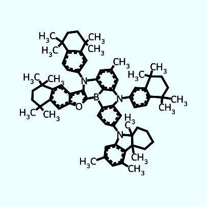 Cc1cc2c3c(c1)N(c1ccc4c(c1)C(C)(C)CCC4(C)C)c1c(oc4cc5c(cc14)C(C)(C)CCC5(C)C)B3c1ccc(N3c4cc(C)cc(C)c4C4(C)CCCCC34C)cc1N2c1ccc2c(c1)C(C)(C)CCC2(C)C